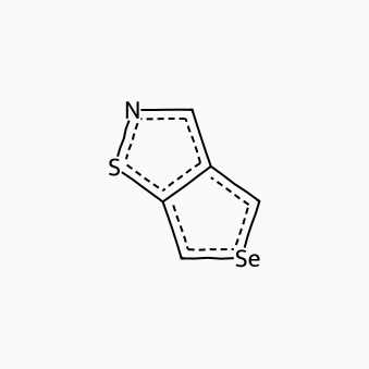 c1nsc2c[se]cc12